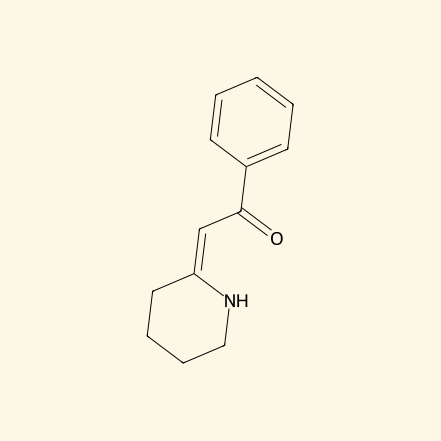 O=C(C=C1CCCCN1)c1ccccc1